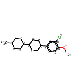 CC1CCC(C2CCC(c3ccc(OC(F)(F)F)c(Cl)c3)CC2)CC1